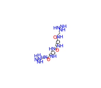 CNC(=N)NCCCNC(=O)c1ccc2[nH]c(C(=O)Nc3ccc4[nH]c(C(=O)NCCCNC(=N)NC)cc4c3)cc2c1